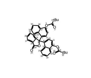 CC(C)(C)C(=O)Oc1ccc(C2(c3ccc(OC(=O)C(C)(C)C)c4ccccc34)OC(=O)c3ccccc32)c2ccccc12